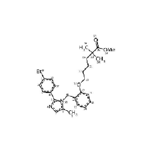 CCc1ccc(-c2ncc(C)n2Cc2ccccc2OCCCCC(C)(C)C(=O)OC)cc1